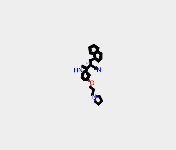 N#C/C(=C\c1cccc2ccccc12)c1c[nH]c2ccc(OCCCN3CCCC3)cc12